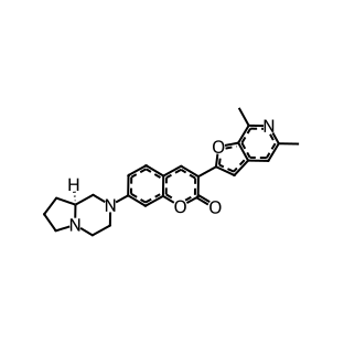 Cc1cc2cc(-c3cc4ccc(N5CCN6CCC[C@H]6C5)cc4oc3=O)oc2c(C)n1